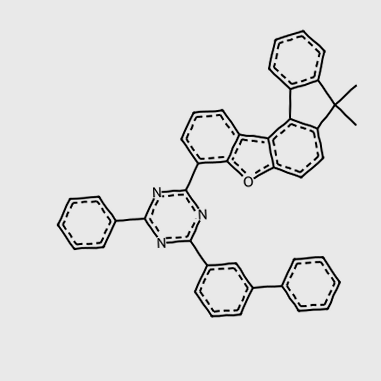 CC1(C)c2ccccc2-c2c1ccc1oc3c(-c4nc(-c5ccccc5)nc(-c5cccc(-c6ccccc6)c5)n4)cccc3c21